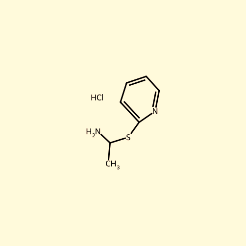 CC(N)Sc1ccccn1.Cl